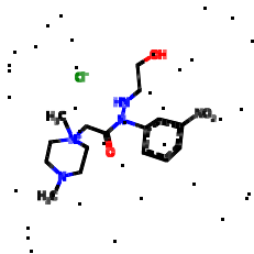 CN1CC[N+](C)(CC(=O)N(NCCO)c2cccc([N+](=O)[O-])c2)CC1.[Cl-]